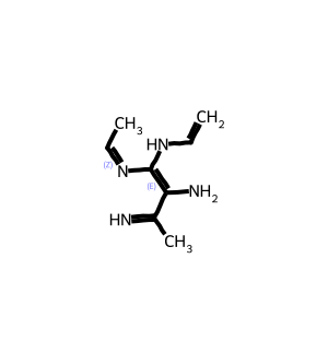 C=CNC(/N=C\C)=C(\N)C(C)=N